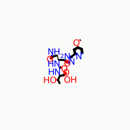 COc1ccnc(-c2noc([C@H](CC(N)=O)NC(=O)N[C@H](C(=O)O)C(C)O)n2)c1